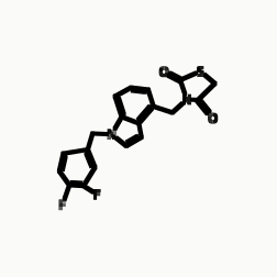 O=C1CSC(=O)N1Cc1cccc2c1ccn2Cc1ccc(F)c(F)c1